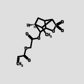 C=CC(=O)OCC(=O)OC1C2OS(=O)(=O)C3C2C[C@H]1C3C